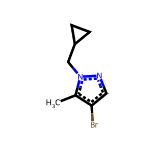 Cc1c(Br)[c]nn1CC1CC1